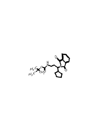 CC(C)(C)OC(=O)NCCC(C1CCCC1)N1C(=O)c2ccccc2C1=O